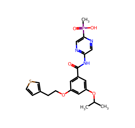 CC(C)Oc1cc(OCCc2ccsc2)cc(C(=O)Nc2cnc(P(C)(=O)O)cn2)c1